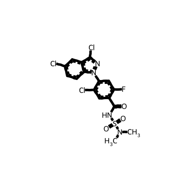 CN(C)S(=O)(=O)NC(=O)c1cc(Cl)c(-n2nc(Cl)c3cc(Cl)ccc32)cc1F